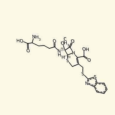 CO[C@@]1(NC(=O)CCCC(N)C(=O)O)C(=O)N2C(C(=O)O)=C(CSc3nc4ccccc4s3)CS[C@H]21